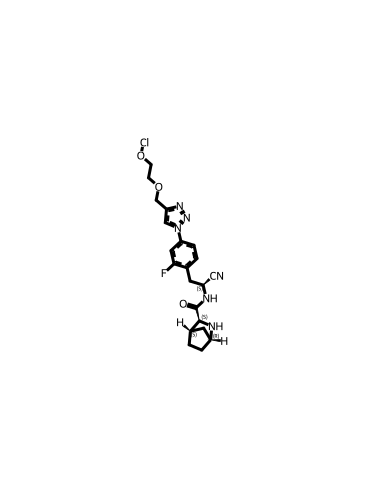 N#C[C@H](Cc1ccc(-n2cc(COCCOCl)nn2)cc1F)NC(=O)[C@H]1N[C@@H]2CC[C@H]1C2